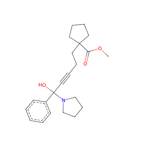 COC(=O)C1(CCC#CC(O)(c2ccccc2)N2CCCC2)CCCC1